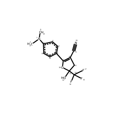 CN(C)c1ccc(C2=C(C#N)CC(O)(C(F)(F)F)O2)cc1